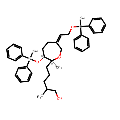 CC(CO)CCC[C@]1(C)OCC(=CCO[Si](c2ccccc2)(c2ccccc2)C(C)(C)C)CC[C@H]1O[Si](c1ccccc1)(c1ccccc1)C(C)(C)C